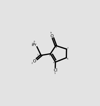 CC(C)C(=O)C1=C(Cl)CCC1=O